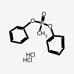 CP(=O)(Oc1ccccc1)Oc1ccccc1.Cl.Cl